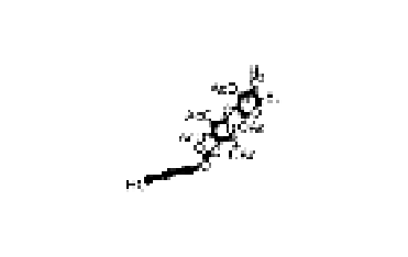 C#CC#CC#COC(=O)O[C@H]1[C@H](OC(C)=O)[C@H](OC(C)=O)[C@@H](O[C@@H]2[C@@H](OC(C)=O)O[C@@H](CC)[C@@H](C)[C@@H]2OC(C)=O)O[C@@H]1COC(C)=O